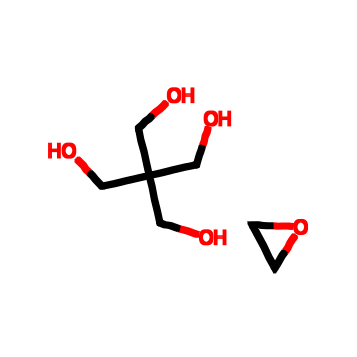 C1CO1.OCC(CO)(CO)CO